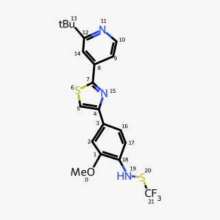 COc1cc(-c2csc(-c3ccnc(C(C)(C)C)c3)n2)ccc1NSC(F)(F)F